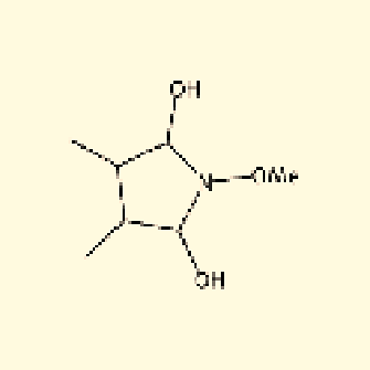 CON1C(O)C(C)C(C)C1O